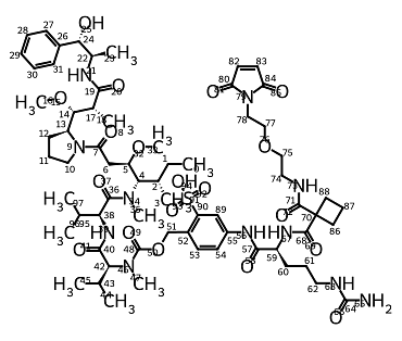 CC[C@H](C)[C@@H]([C@@H](CC(=O)N1CCC[C@H]1[C@H](OC)[C@@H](C)C(=O)N[C@H](C)[C@@H](O)c1ccccc1)OC)N(C)C(=O)[C@@H](NC(=O)[C@H](C(C)C)N(C)C(=O)OCc1ccc(NC(=O)[C@H](CCCNC(N)=O)NC(=O)C2(C(=O)NCCOCCN3C(=O)C=CC3=O)CCC2)cc1S(=O)(=O)O)C(C)C